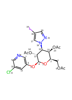 CC(=O)OC[C@H]1O[C@@H](Oc2cncc(Cl)c2)[C@H](OC(C)=O)[C@@H](n2cc(I)cn2)[C@H]1OC(C)=O